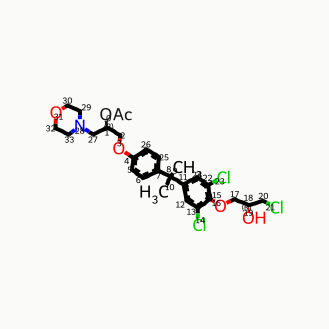 CC(=O)O[C@@H](COc1ccc(C(C)(C)c2cc(Cl)c(OC[C@@H](O)CCl)c(Cl)c2)cc1)CN1CCOCC1